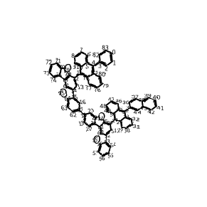 c1ccc(-c2c3ccccc3c(-c3cc4c5cc(-c6ccc7c(c6)oc6c(-c8c9ccccc9c(-c9ccc%10ccccc%10c9)c9ccccc89)cc8c9ccccc9oc8c67)ccc5oc4c4c3oc3ccccc34)c3ccccc23)cc1